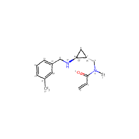 C=CC(=O)N(CC)C[C@H]1C[C@@H]1NCc1cccc(C(F)(F)F)c1